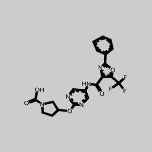 O=C(Nc1cnc(OC2CCN(C(=O)O)C2)nc1)c1nc(-c2ccccc2)oc1C(F)(F)F